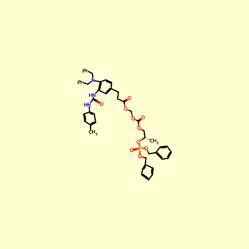 Cc1ccc(NC(=O)Nc2cc(CCC(=O)OCOC(=O)OC[C@H](C)OP(=O)(OCc3ccccc3)OCc3ccccc3)ccc2N(CC(C)C)CC(C)C)cc1